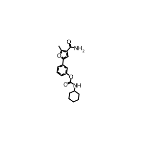 Cc1oc(-c2cccc(OC(=O)NC3CCCCC3)c2)cc1C(N)=O